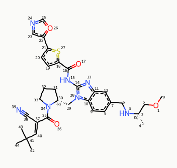 COC[C@H](C)NCc1ccc2c(c1)nc(NC(=O)c1ccc(-c3cnco3)s1)n2C[C@H]1CCCN1C(=O)C(C#N)=CC(C)(C)C